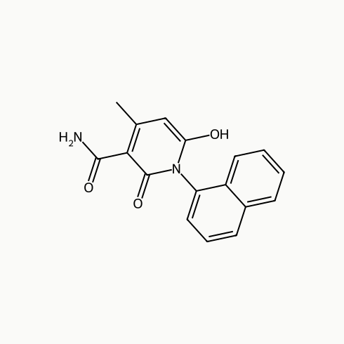 Cc1cc(O)n(-c2cccc3ccccc23)c(=O)c1C(N)=O